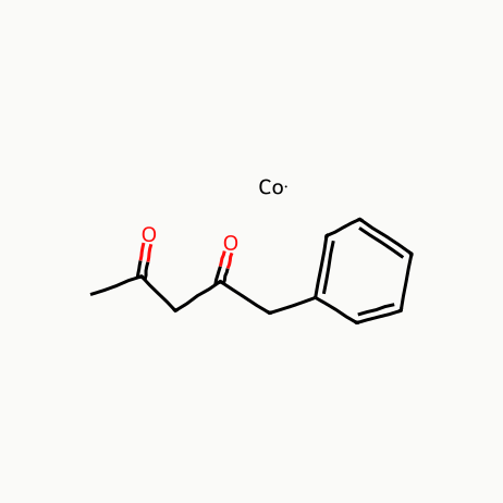 CC(=O)CC(=O)Cc1ccccc1.[Co]